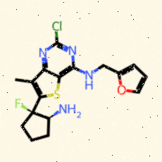 Cc1c([C@@]2(F)CCC[C@@H]2N)sc2c(NCc3ccco3)nc(Cl)nc12